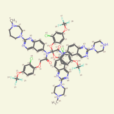 CN1CCCN(c2ncc3cc(N(C(=O)COc4ccc(OC(F)(F)F)cc4Cl)C(Oc4ccc(OC(F)(F)F)cc4Cl)(Oc4ccc(OC(F)(F)F)cc4Cl)C(=O)N(c4ccc5nc(N6CCNCC6)ncc5c4)c4ccc5nc(N6CCN(C)CC6)ncc5c4)ccc3n2)CC1